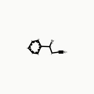 N#CCC(Br)c1ccccc1